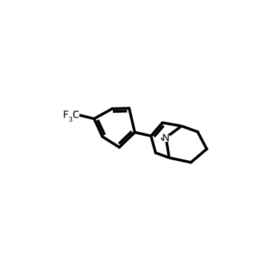 CN1C2C=C(c3ccc(C(F)(F)F)cc3)CC1CCC2